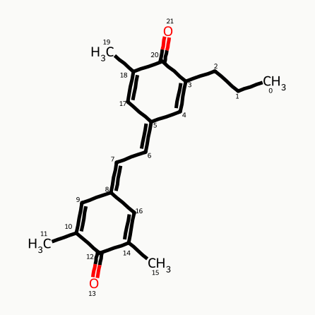 CCCC1=C/C(=C/C=C2C=C(C)C(=O)C(C)=C2)C=C(C)C1=O